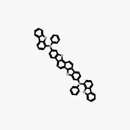 c1ccc(N(c2ccc3c(c2)oc2c3ccc3c2ccc2c4ccc(N(c5ccccc5)c5cccc6c5oc5ccccc56)cc4oc23)c2cccc3c2oc2ccccc23)cc1